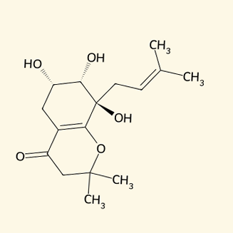 CC(C)=CC[C@]1(O)C2=C(C[C@H](O)[C@@H]1O)C(=O)CC(C)(C)O2